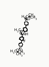 COc1cc(C2=CCN(C(=O)OC(C)(C)C)CC2)ccc1NC(=O)c1ccc(C2=CCN(C(=O)OC(C)(C)C)CC2)c(F)c1